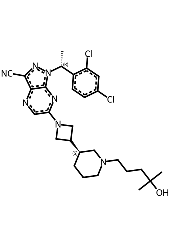 C[C@H](c1ccc(Cl)cc1Cl)n1nc(C#N)c2ncc(N3CC([C@@H]4CCCN(CCCC(C)(C)O)C4)C3)nc21